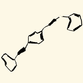 C(#Cc1ccc(C#Cc2ccccc2)cc1)Nc1ccccc1